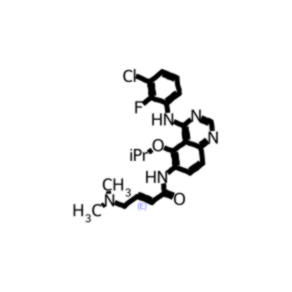 CC(C)Oc1c(NC(=O)/C=C/CN(C)C)ccc2ncnc(Nc3cccc(Cl)c3F)c12